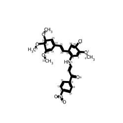 COc1cc(NC=CC(=O)c2ccc([N+](=O)[O-])cc2)c(C=Cc2cc(OC)c(OC)c(OC)c2)cc1Cl